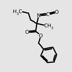 CCCC(C)(N=C=O)C(=O)OCc1ccccc1